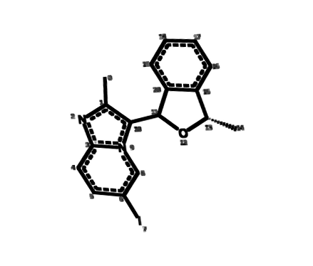 Cc1nc2ccc(I)cn2c1C1O[C@@H](C)c2ccccc21